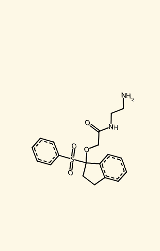 NCCNC(=O)COC1(S(=O)(=O)c2ccccc2)CCc2ccccc21